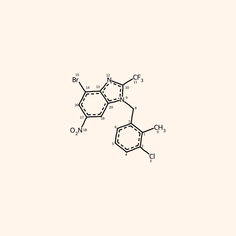 Cc1c(Cl)cccc1Cn1c(C(F)(F)F)nc2c(Br)cc([N+](=O)[O-])cc21